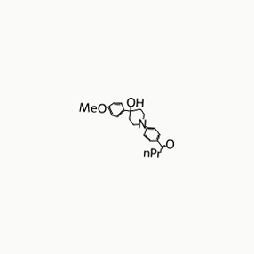 CCCC(=O)c1ccc(N2CCC(O)(c3ccc(OC)cc3)CC2)cc1